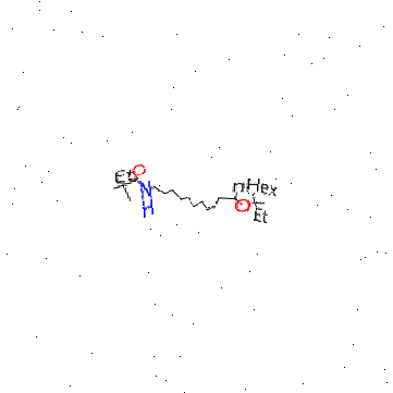 CCCCCCC(C/C=C\CCCCCCCNC(=O)C(C)(C)CC)OC(C)(C)CC